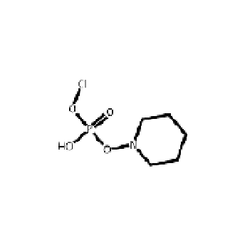 O=P(O)(OCl)ON1CCCCC1